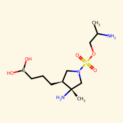 CC(N)COS(=O)(=O)N1C[C@H](CCCB(O)O)[C@@](C)(N)C1